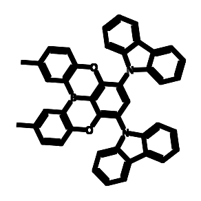 Cc1ccc2c(c1)B1c3cc(C)ccc3Oc3c(-n4c5ccccc5c5ccccc54)cc(-n4c5ccccc5c5ccccc54)c(c31)O2